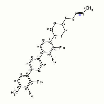 C/C=C/CCC1CCC(c2ccc(-c3ccc(-c4ccc(C)c(F)c4F)cc3)c(F)c2F)OC1